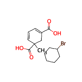 BrC1CCCCC1.CC1(C(=O)O)C=CC=C(C(=O)O)C1